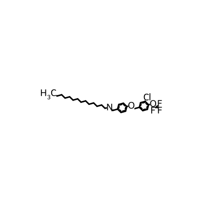 CCCCCCCCCCCCCCN=Cc1ccc(OCc2ccc(OC(F)(F)F)c(Cl)c2)cc1